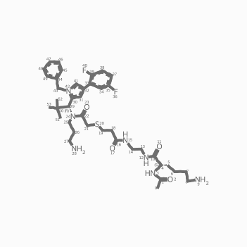 CC(=O)N[C@@H](CCCCN)C(=O)NCCNC(=O)CCSCC(=O)N(CCCN)[C@@H](c1cc(-c2cc(F)ccc2F)cn1Cc1ccccc1)C(C)(C)C